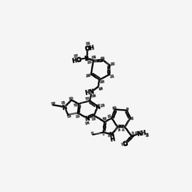 Cc1[nH]c2c(C(N)=O)cccc2c1-c1nc2c(c(NCc3cccc(B(O)O)c3)n1)CN(C)C2